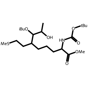 COC(=O)C(CCCC(CCSC)C(OCC(C)C)C(C)O)NC(=O)OC(C)(C)C